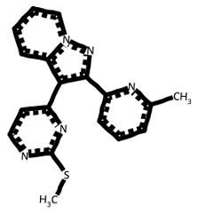 CSc1nccc(-c2c(-c3cccc(C)n3)nn3ccccc23)n1